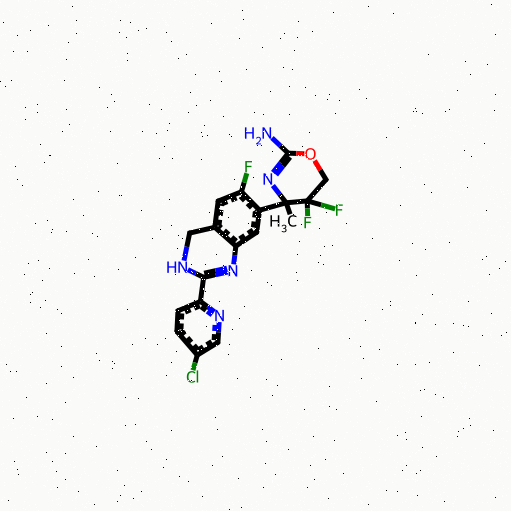 CC1(c2cc3c(cc2F)CNC(c2ccc(Cl)cn2)=N3)N=C(N)OCC1(F)F